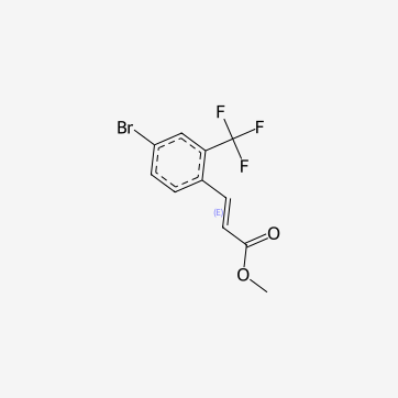 COC(=O)/C=C/c1ccc(Br)cc1C(F)(F)F